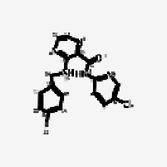 O=C(Nc1ccc(Cl)cn1)c1nccnc1NCc1ccc(F)cc1